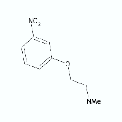 CNCCOc1cccc([N+](=O)[O-])c1